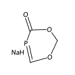 O=C1OCOC=P1.[NaH]